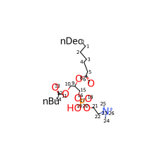 CCCCCCCCCCCCCCCC(=O)OC(COC(=O)CCCC)COP(=O)(O)OCC[N+](C)(C)C